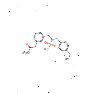 COC(=O)Cc1cccc(CN(Cc2ccc(CC(C)C)cc2)S(C)(=O)=O)c1